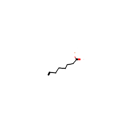 C=CCCCCCC(=O)OCl